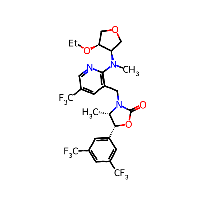 CCO[C@H]1COC[C@H]1N(C)c1ncc(C(F)(F)F)cc1CN1C(=O)O[C@H](c2cc(C(F)(F)F)cc(C(F)(F)F)c2)[C@@H]1C